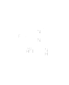 Cl.Cl.Fc1cccc(Cn2c3c(c4cccnc42)CCNC3)c1